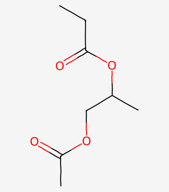 CCC(=O)OC(C)COC(C)=O